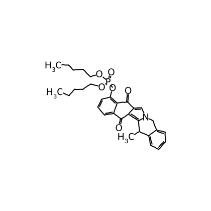 CCCCCOP(=O)(OCCCCC)Oc1cccc2c1C(=O)c1cn3c(c1C2=O)C(C)c1ccccc1C3